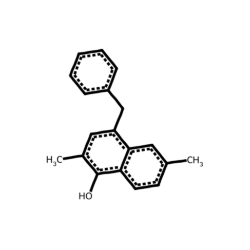 Cc1ccc2c(O)c(C)cc(Cc3ccccc3)c2c1